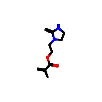 C=C(C)C(=O)OCCN1CCNC1=C